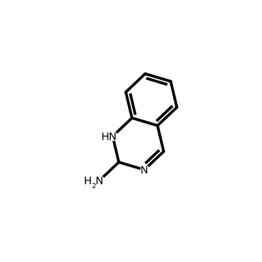 NC1N=Cc2ccccc2N1